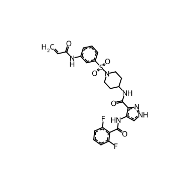 C=CC(=O)Nc1cccc(S(=O)(=O)N2CCC(NC(=O)c3n[nH]cc3NC(=O)c3c(F)cccc3F)CC2)c1